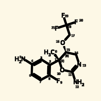 C[C@]1(c2cc(N)ccc2F)OC(N)=NC[C@H]1OCC(F)(F)F